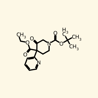 CCOC(=O)C1(c2ccccn2)CCN(C(=O)OC(C)(C)C)CC1=O